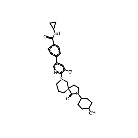 O=C(NC1CC1)c1ccc(-c2cnc(N3CCC[C@]4(CCN(C5CCC(O)CC5)C4=O)C3)c(Cl)c2)cc1